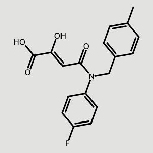 Cc1ccc(CN(C(=O)C=C(O)C(=O)O)c2ccc(F)cc2)cc1